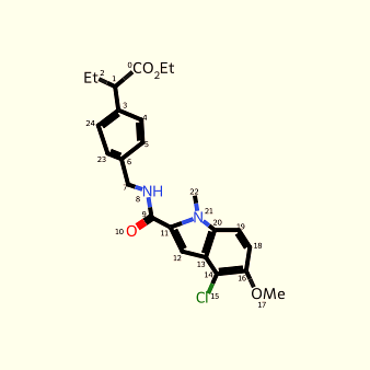 CCOC(=O)C(CC)c1ccc(CNC(=O)c2cc3c(Cl)c(OC)ccc3n2C)cc1